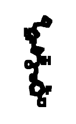 O=C(COc1ccc(Cl)c(F)c1)NC12CC(n3cnc(CC4CCC4)c3)(C1)C2